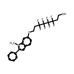 Cn1c(-c2ccccc2)cc2ccc(OCCC(F)(F)C(F)(F)C(F)(F)C(F)(F)CCO)cc21